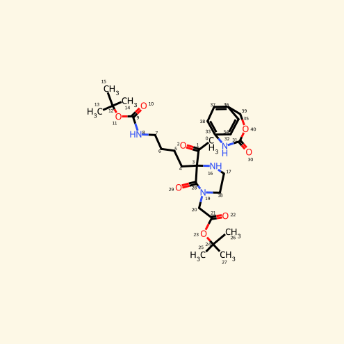 CC(=O)C1(CCCCNC(=O)OC(C)(C)C)NCCN(CC(=O)OC(C)(C)C)C1=O.O=C1Nc2ccc(cc2)CO1